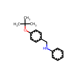 CC(C)(C)Oc1ccc(CNc2ccccc2)cc1